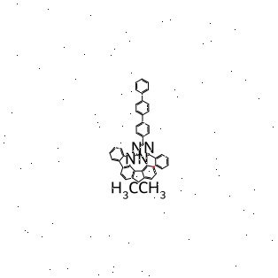 CC1(C)c2ccccc2-c2c1ccc1c3ccccc3n(-c3nc(-c4ccccc4)nc(-c4ccc(-c5ccc(-c6ccccc6)cc5)cc4)n3)c21